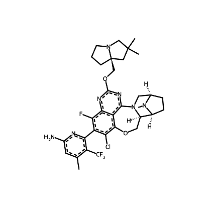 Cc1cc(N)nc(-c2c(Cl)c3c4c(nc(OC[C@@]56CCCN5CC(C)(C)C6)nc4c2F)N2C[C@H]4CC[C@@H]([C@H]2CO3)N4C)c1C(F)(F)F